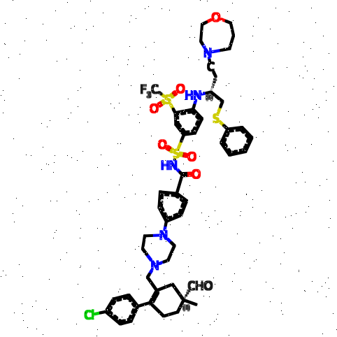 C[C@@]1(C=O)CCC(c2ccc(Cl)cc2)=C(CN2CCN(c3ccc(C(=O)NS(=O)(=O)c4ccc(N[C@H](CCN5CCCOCC5)CSc5ccccc5)c(S(=O)(=O)C(F)(F)F)c4)cc3)CC2)C1